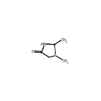 CC1NC(=O)CN1C